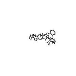 COc1ccccc1-c1nnc2n1N=C(c1ccc3[nH]c(=O)oc3c1)CS2